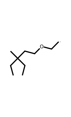 [CH2]COCCC(C)(CC)CC